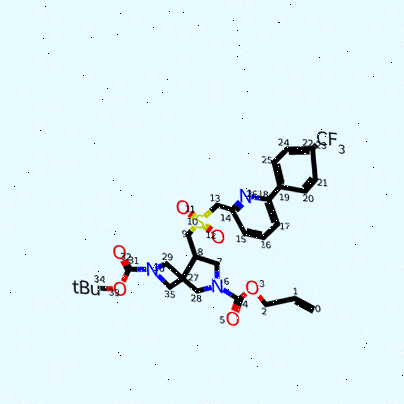 C=CCOC(=O)N1CC(CS(=O)(=O)Cc2cccc(-c3ccc(C(F)(F)F)cc3)n2)C2(C1)CN(C(=O)OC(C)(C)C)C2